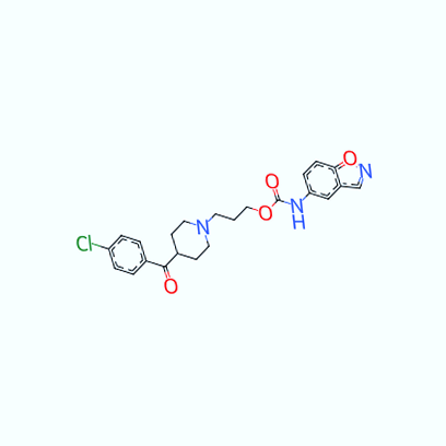 O=C(Nc1ccc2oncc2c1)OCCCN1CCC(C(=O)c2ccc(Cl)cc2)CC1